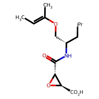 CC=C(C)OC[C@H](CC(C)C)NC(=O)[C@H]1O[C@@H]1C(=O)O